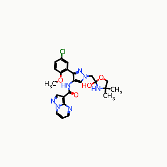 COc1ccc(Cl)cc1-c1nn(CC2(O)NC(C)(C)CO2)cc1NC(=O)c1cnn2cccnc12